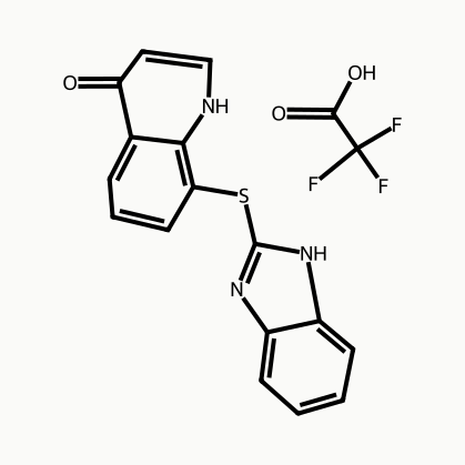 O=C(O)C(F)(F)F.O=c1cc[nH]c2c(Sc3nc4ccccc4[nH]3)cccc12